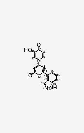 O=C1C=C(n2ccc(=O)c(O)c2)N=C(c2cccc3[nH]ncc23)C1